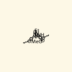 C=CCCCOc1ccc(CNc2nc(Nc3ccc(C(=O)OC)c(OCCCC=C)c3)nc(OCC)n2)cc1